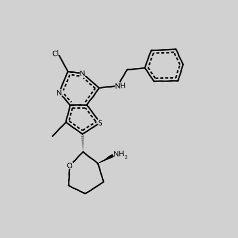 Cc1c([C@H]2OCCC[C@@H]2N)sc2c(NCc3ccccc3)nc(Cl)nc12